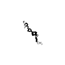 CCCCOc1ccc(C2CCC(CCc3ccc(F)nc3F)CC2)cc1